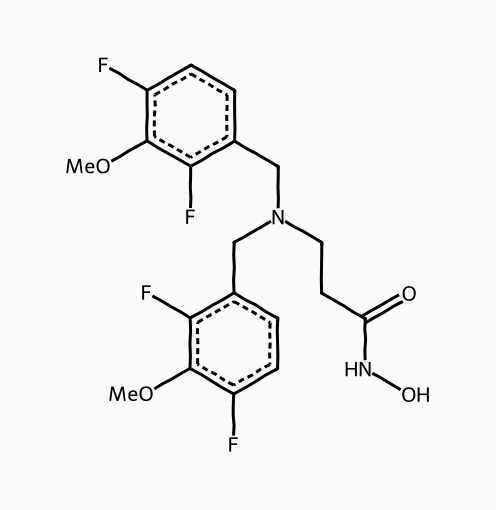 COc1c(F)ccc(CN(CCC(=O)NO)Cc2ccc(F)c(OC)c2F)c1F